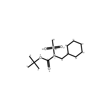 CC(C)(C)OC(=O)N(CC1CCCCC1)S(C)(=O)=O